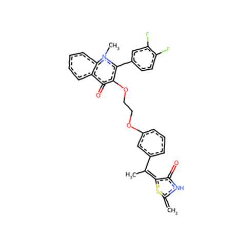 C=c1[nH]c(=O)/c(=C(/C)c2cccc(OCCOc3c(-c4ccc(F)c(F)c4)n(C)c4ccccc4c3=O)c2)s1